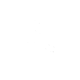 CCCCC(=O)N(Cc1ccc2oc(-c3ccccc3-c3nnn[nH]3)cc2c1)CC1(C(=O)OCC)CCCCC1